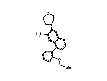 CC(C)(C)COc1ccccc1-c1cccc2cc(N3CCOCC3)c(N)nc12